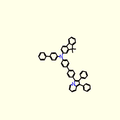 CC1(C)c2ccccc2-c2ccc(N(c3ccc(-c4ccccc4)cc3)c3ccc(-c4ccc(-c5c(-c6ccccc6)c(-c6ccccc6)c6ccccn56)cc4)cc3)cc21